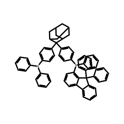 c1ccc(N(c2ccccc2)c2ccc(C3(c4ccc(N(c5ccccc5)c5cccc6c5C(c5ccccc5)(c5ccccc5)c5ccccc5-6)cc4)C4CC5CC(C4)CC3C5)cc2)cc1